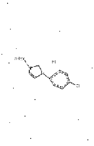 CCCCCCN1C=CN(c2ccc(Cl)cc2)C1.I